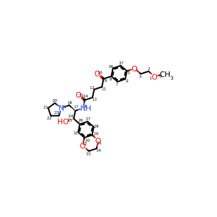 COCCOc1ccc(C(=O)CCCC(=O)N[C@H](CN2CCCC2)[C@@H](O)c2ccc3c(c2)OCCO3)cc1